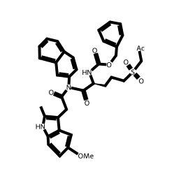 COc1ccc2[nH]c(C)c(CC(=O)N(C(=O)[C@H](CCCS(=O)(=O)CC(C)=O)NC(=O)OCc3ccccc3)c3ccc4ccccc4c3)c2c1